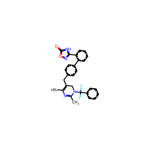 CCCCC1=C(Cc2ccc(-c3ccccc3-c3noc(=O)[nH]3)cc2)CN(C(F)(F)c2ccccc2)C(C)=N1